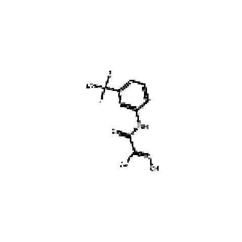 CCC(F)(F)c1cccc(NC(=O)C(=NO)C(C)=O)c1